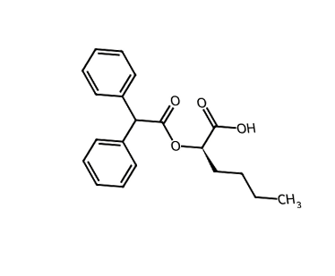 CCCC[C@@H](OC(=O)C(c1ccccc1)c1ccccc1)C(=O)O